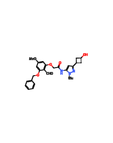 COc1cc(OCC(=O)Nc2cc(C3CC(O)C3)nn2C(C)(C)C)c(C=O)c(OCc2ccccc2)c1